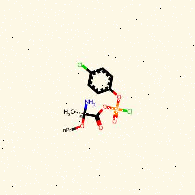 CCCO[C@@](C)(N)C(=O)OP(=O)(Cl)Oc1ccc(Cl)cc1